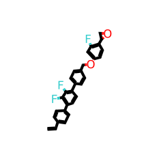 C=Cc1ccc(-c2ccc(-c3ccc(COc4ccc(C5CO5)c(F)c4)cc3)c(F)c2F)cc1